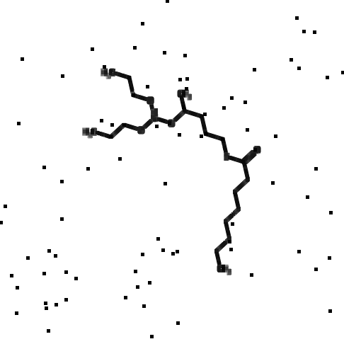 CCCCCCCC(=O)SCCCC(C)O[SiH](OCCC)OCCC